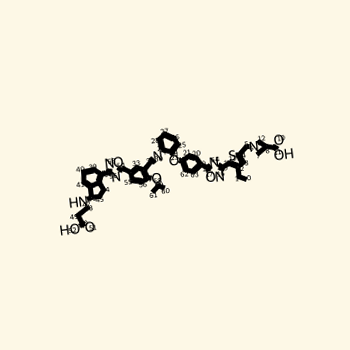 CCc1cc(CN2CC(C(=O)O)C2)sc1-c1noc(-c2ccc(Oc3ccccc3[N+]#Cc3cc(-c4nc(-c5cccc6c5CCC6NCCC(=O)O)no4)ccc3OC(C)C)cc2)n1